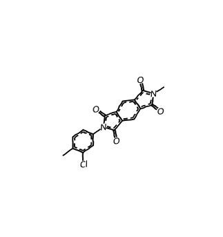 Cc1ccc(-n2c(=O)c3cc4c(=O)n(C)c(=O)c4cc3c2=O)cc1Cl